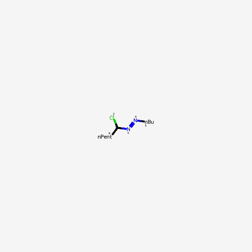 CCCCCC(Cl)N=NCCCC